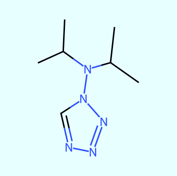 CC(C)N(C(C)C)n1cnnn1